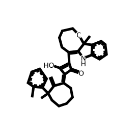 C=C1/C(=C2/C(=O)C(C3=C4\Nc5ccccc5C4(C)CCCCC\3)=C2O)CCCCCC1(C)c1ccccc1C